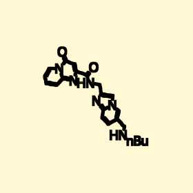 CCCCNCc1ccc2nc(CNC(=O)c3cc(=O)n4ccccc4n3)cn2c1